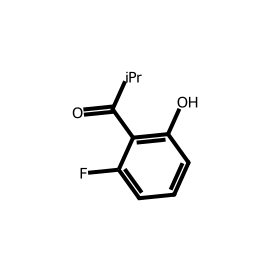 CC(C)C(=O)c1c(O)cccc1F